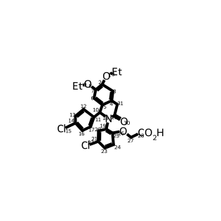 CCOc1cc2c(cc1OCC)C(c1ccc(Cl)cc1)N(c1cc(Cl)ccc1OCC(=O)O)C(=O)C2